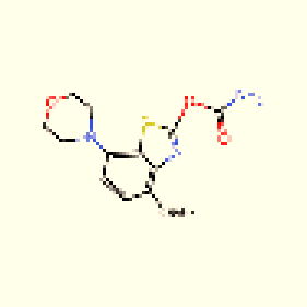 COc1ccc(N2CCOCC2)c2sc(OC(N)=O)nc12